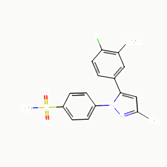 COc1cc(-c2cc(C(F)(F)F)nn2-c2ccc(S(N)(=O)=O)cc2)ccc1Cl